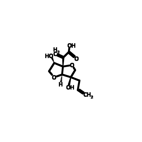 C=CC[C@@]1(O)CO[C@]2(C(=C)C(=O)O)[C@@H]1OC[C@@H]2O